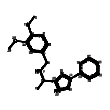 COc1ccc(CNC(C)c2nc(-c3ccccc3)c[nH]2)cc1OC